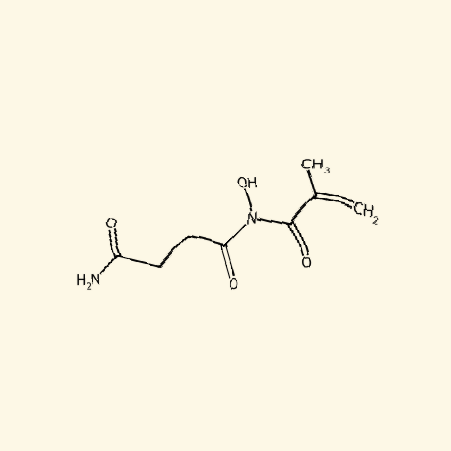 C=C(C)C(=O)N(O)C(=O)CCC(N)=O